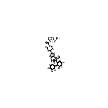 CCOC(=O)NC(=S)N1CCC(c2nc(C(=O)Nc3ccccc3-c3ccccc3)cs2)CC1